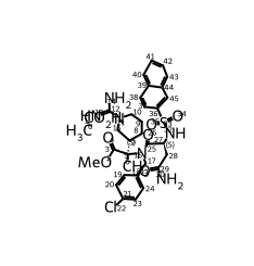 CC(=O)O.COC(=O)C(C)([C@H]1CCCN(C(=N)N)C1)N(Cc1ccc(Cl)cc1)C(=O)[C@H](CC(N)=O)NS(=O)(=O)c1ccc2ccccc2c1